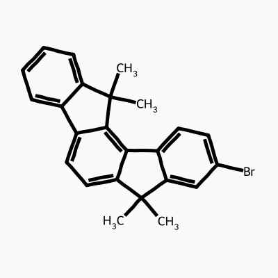 CC1(C)c2cc(Br)ccc2-c2c1ccc1c2C(C)(C)c2ccccc2-1